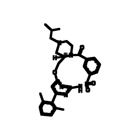 Cc1cccc(C)c1-c1cc2nc(n1)NS(=O)(=O)c1cccc(c1)C(=O)N1CCN(CC(C)C)C[C@@H]1CO2